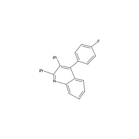 CC(C)c1nc2ccccc2c(-c2ccc(F)cc2)c1C(C)C